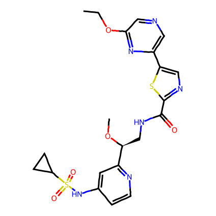 CCOc1cncc(-c2cnc(C(=O)NC[C@H](OC)c3cc(NS(=O)(=O)C4CC4)ccn3)s2)n1